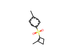 CC1=C(S(=O)(=O)c2ccc(C)cc2)CC1